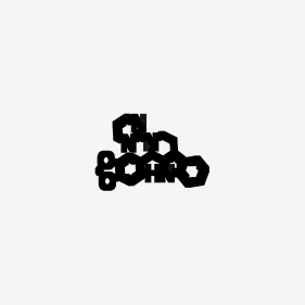 c1cnc(N2CCc3c([nH]c4ccccc34)C2c2ccc3c(c2)OCO3)nc1